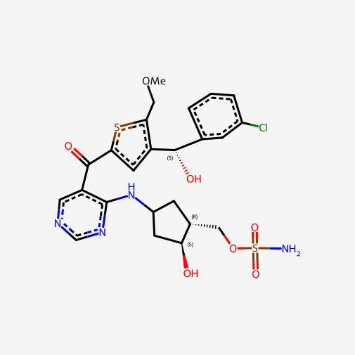 COCc1sc(C(=O)c2cncnc2NC2C[C@H](COS(N)(=O)=O)[C@@H](O)C2)cc1[C@@H](O)c1cccc(Cl)c1